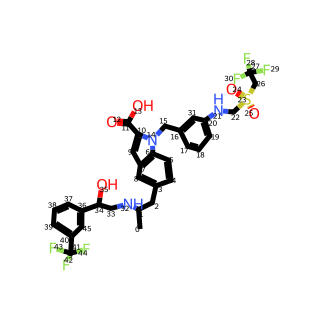 CC(Cc1ccc2c(c1)cc(C(=O)O)n2Cc1cccc(NCS(=O)(=O)CC(F)(F)F)c1)NCC(O)c1cccc(C(F)(F)F)c1